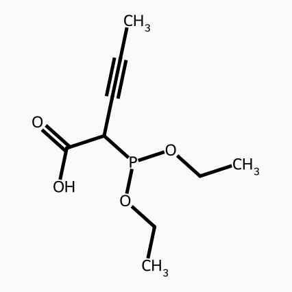 CC#CC(C(=O)O)P(OCC)OCC